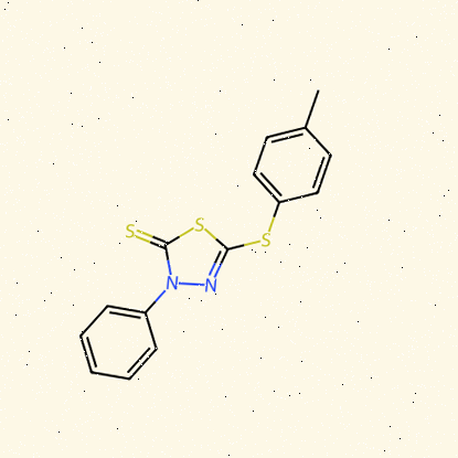 Cc1ccc(Sc2nn(-c3ccccc3)c(=S)s2)cc1